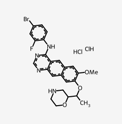 COc1cc2cc3c(Nc4ccc(Br)cc4F)ncnc3cc2cc1OC(C)C1CNCCO1.Cl.Cl